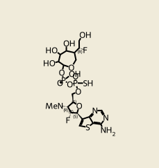 CN[C@H]1[C@@H](F)[C@H](c2csc3c(N)ncnc23)O[C@@H]1COP(=O)(S)OP(=O)(O)OC1OCC([C@@H](F)CO)C(O)C(O)C1O